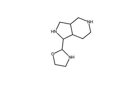 C1CC2C(CN1)CNC2C1NCCO1